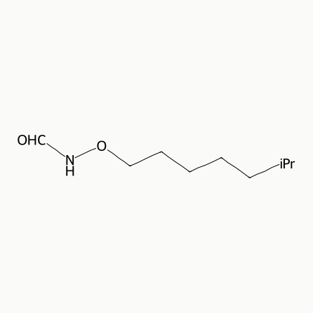 CC(C)CCCCCONC=O